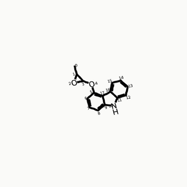 CC1OC1Oc1cccc2[nH]c3ccccc3c12